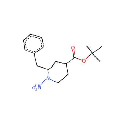 CC(C)(C)OC(=O)C1CCN(N)C(Cc2ccccc2)C1